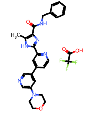 Cc1[nH]c(-c2cc(-c3cncc(N4CCOCC4)c3)ccn2)nc1C(=O)NCc1ccccc1.O=C(O)C(F)(F)F